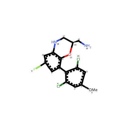 COc1cc(Cl)c(-c2cc(F)cc3c2O[C@H](CN)CN3)c(Cl)c1